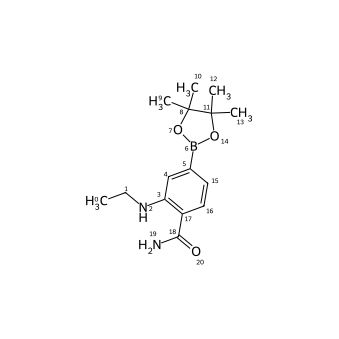 CCNc1cc(B2OC(C)(C)C(C)(C)O2)ccc1C(N)=O